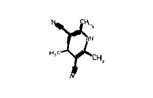 CC1=C(C#N)C(C)C(C#N)=C(C)N1